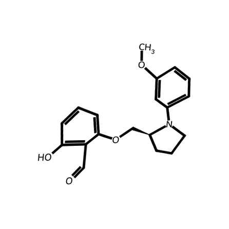 COc1cccc(N2CCC[C@H]2COc2cccc(O)c2C=O)c1